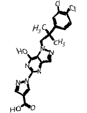 CC(C)(Cn1ncc2nc(-n3cc(C(=O)O)cn3)nc(O)c21)c1ccc(Cl)c(Cl)c1